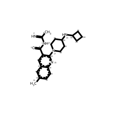 CC(=N)NC(=O)c1cc2cc(C)ccc2nc1N1CCC(NC2CCC2)CC1